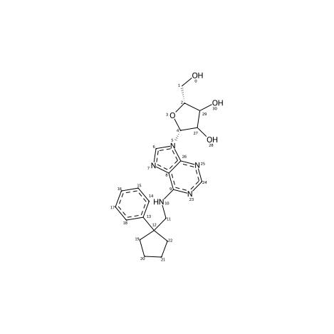 OC[C@H]1O[C@@H](n2cnc3c(NCC4(c5ccccc5)CCCC4)ncnc32)C(O)C1O